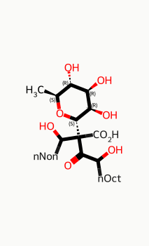 CCCCCCCCCC(O)C(C(=O)O)(C(=O)C(O)CCCCCCCC)[C@@H]1O[C@@H](C)[C@H](O)[C@@H](O)[C@H]1O